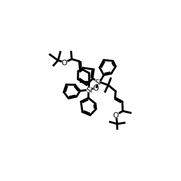 CC(/C=C/CC(C)(C)[Si](O[Si](c1ccccc1)(c1ccccc1)C(C)(C)C/C=C/C(C)OC(C)(C)C)(c1ccccc1)c1ccccc1)OC(C)(C)C